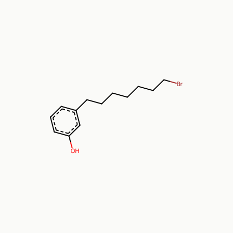 Oc1cccc(CCCCCCCBr)c1